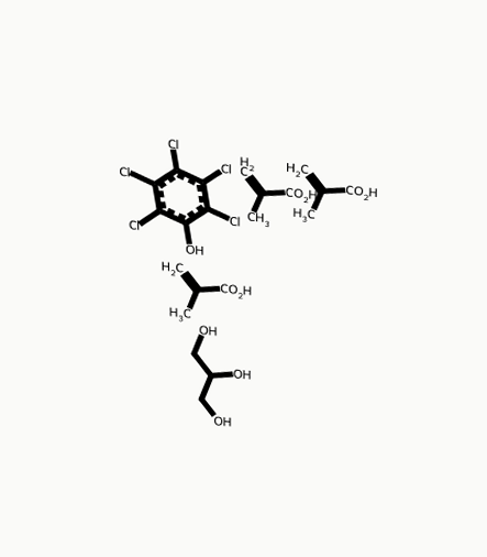 C=C(C)C(=O)O.C=C(C)C(=O)O.C=C(C)C(=O)O.OCC(O)CO.Oc1c(Cl)c(Cl)c(Cl)c(Cl)c1Cl